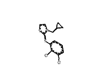 Clc1cccc(N=c2sccn2CC2CC2)c1Cl